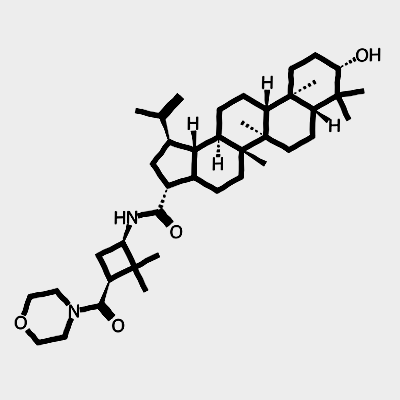 C=C(C)[C@@H]1C[C@@H](C(=O)N[C@@H]2C[C@H](C(=O)N3CCOCC3)C2(C)C)C2CC[C@]3(C)[C@H](CC[C@@H]4[C@@]5(C)CC[C@H](O)C(C)(C)[C@@H]5CC[C@]43C)[C@H]21